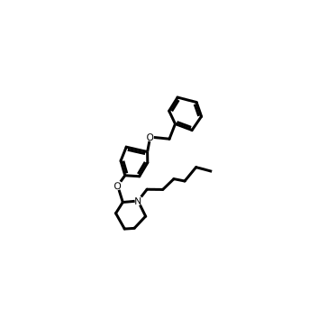 CCCCCCN1CCCCC1Oc1ccc(OCc2ccccc2)cc1